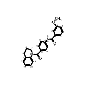 COc1cccc(C(=O)Nc2ccc(C(=O)N3CCCc4ccccc43)cc2)c1